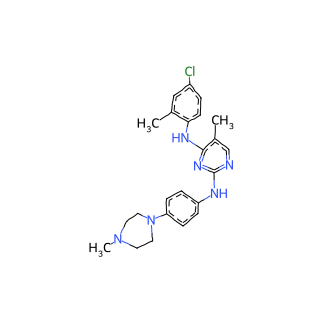 Cc1cc(Cl)ccc1Nc1nc(Nc2ccc(N3CCN(C)CC3)cc2)ncc1C